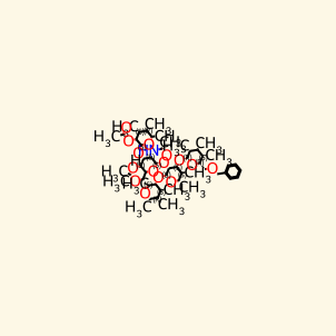 CC(=O)N[C@H]1C(O[C@@H]2OC(C)[C@H](C)[C@H](C)C2OC(C)=O)[C@@H]2OC(C)(C)OCC2O[C@H]1OC1[C@H](OC2[C@H](C)OC(C)[C@H](C)[C@@H]2C)OC(C)[C@H](C)[C@@H]1O[C@H]1O[C@@H](COCc2ccccc2)[C@@H](C)C(C)C1C